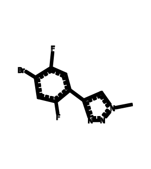 Cn1cc(-c2cc(F)c(Br)cc2F)nn1